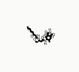 C/C=C/C=C/C(=O)CC(=O)N[C@H](CC)CC(=O)N[C@@H]1C(=O)[C@@H]2C(=O)NC(=O)[C@H]2CC1C